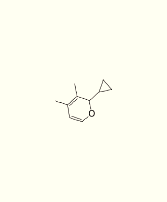 CC1=C(C)C(C2CC2)OC=C1